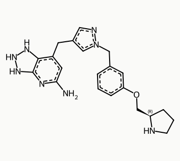 Nc1cc(Cc2cnn(Cc3cccc(OC[C@H]4CCCN4)c3)c2)c2c(n1)NNN2